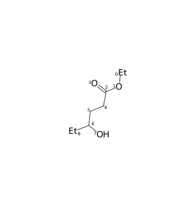 CCOC(=O)CCC(O)CC